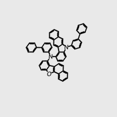 c1ccc(-c2cccc(N(c3cccc4oc5c6ccccc6ccc5c34)c3cccc4c3c3cc5ccccc5cc3n4-c3cccc(-c4ccccc4)c3)c2)cc1